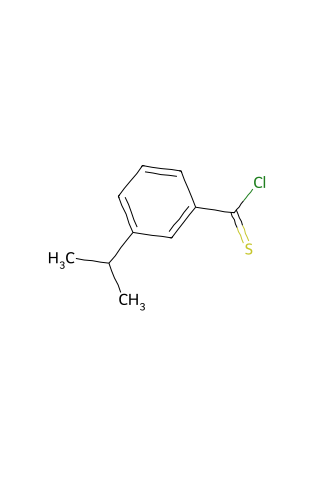 CC(C)c1cccc(C(=S)Cl)c1